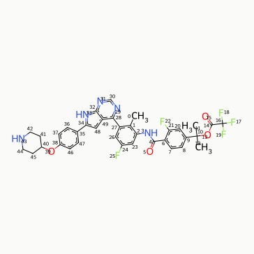 Cc1c(NC(=O)c2ccc(C(C)(C)OC(=O)C(F)(F)F)cc2F)cc(F)cc1-c1ncnc2[nH]c(-c3ccc(OC4CCNCC4)cc3)cc12